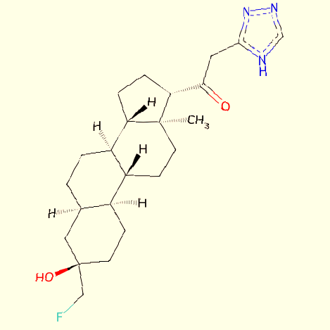 C[C@]12CC[C@H]3[C@@H](CC[C@@H]4C[C@@](O)(CF)CC[C@@H]43)[C@@H]1CC[C@@H]2C(=O)Cc1nnc[nH]1